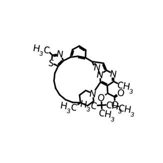 COC(=O)[C@@H](OC(C)(C)C)c1c(C)nc2cc3nn2c1N1CCC(C)(CCCCCCc2sc(C)nc2-c2cccc-3c2)CC1